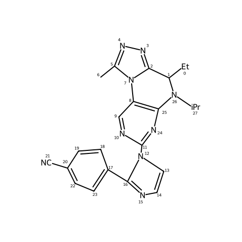 CCC1c2nnc(C)n2-c2cnc(-n3ccnc3-c3ccc(C#N)cc3)nc2N1C(C)C